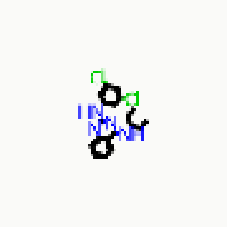 CCC(CC)Nc1nc(Nc2cc(Cl)cc(Cl)c2)nc2ccccc12